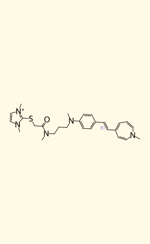 CN1C=CC=C(/C=C/c2ccc(N(C)CCCN(C)C(=O)CSc3n(C)cc[n+]3C)cc2)C=C1